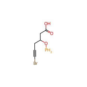 O=C(O)CC(CC#CBr)OP